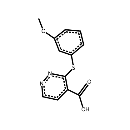 COc1cccc(Sc2nnccc2C(=O)O)c1